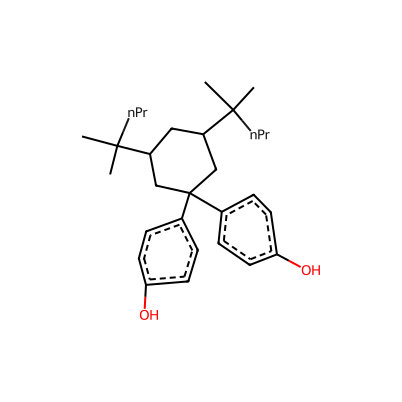 CCCC(C)(C)C1CC(C(C)(C)CCC)CC(c2ccc(O)cc2)(c2ccc(O)cc2)C1